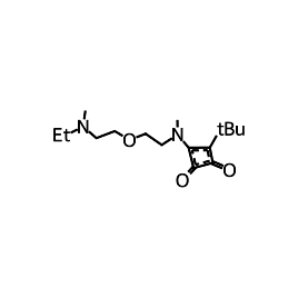 CCN(C)CCOCCN(C)c1c(C(C)(C)C)c(=O)c1=O